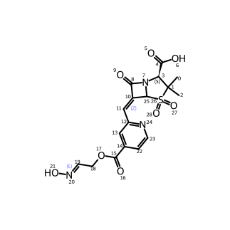 CC1(C)[C@H](C(=O)O)N2C(=O)/C(=C/c3cc(C(=O)OC/C=N/O)ccn3)C2S1(=O)=O